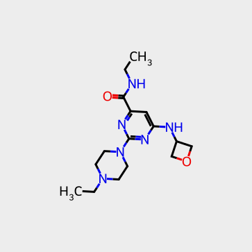 CCNC(=O)c1cc(NC2COC2)nc(N2CCN(CC)CC2)n1